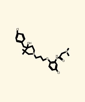 CN(C)CC(=O)Nc1cc(Cl)ccc1OCCCN1CCC(O)(Cc2ccc(Cl)cc2)C(C)(C)C1